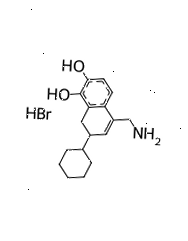 Br.NCC1=CC(C2CCCCC2)Cc2c1ccc(O)c2O